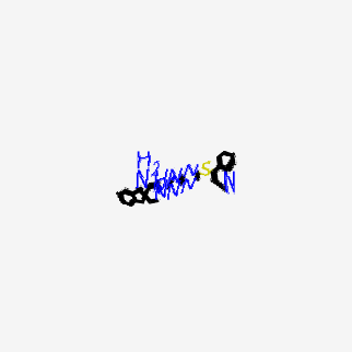 N[C@@H]1c2ccccc2CC12CCN(c1nc3ncc(Sc4ccnc5ccccc45)nc3[nH]1)CC2